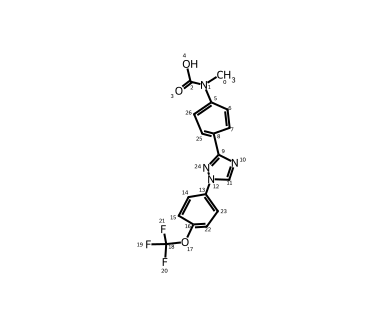 CN(C(=O)O)c1ccc(-c2ncn(-c3ccc(OC(F)(F)F)cc3)n2)cc1